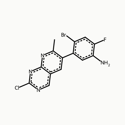 Cc1nc2nc(Cl)ncc2cc1-c1cc(N)c(F)cc1Br